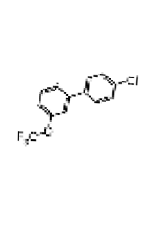 FC(F)(F)Oc1cc[c]c(-c2ccc(Cl)cc2)c1